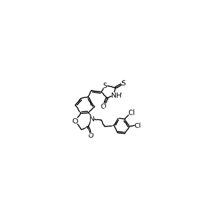 O=C1NC(=S)SC1=Cc1ccc2c(c1)N(CCc1ccc(Cl)c(Cl)c1)C(=O)CO2